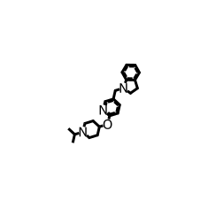 CC(C)N1CCC(Oc2ccc(CN3CCc4ccccc43)cn2)CC1